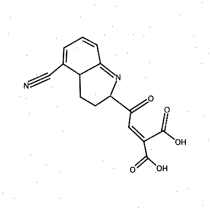 N#CC1=CC=CC2=NC(C(=O)C=C(C(=O)O)C(=O)O)CCC12